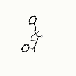 CN(C=C1CCC(C)(C=Cc2ccccc2)C1=O)c1ccccc1